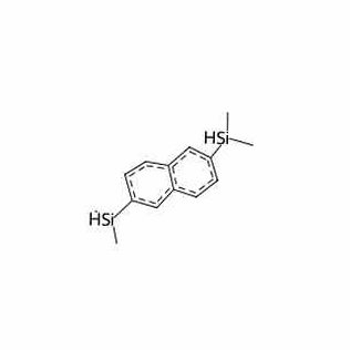 C[SiH](C)c1ccc2cc([SiH](C)C)ccc2c1